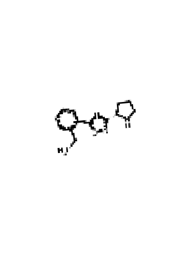 CCc1ccccc1-c1nc([C@@H]2CCCN2)no1